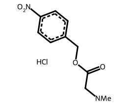 CNCC(=O)OCc1ccc([N+](=O)[O-])cc1.Cl